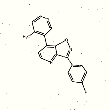 Cc1ccncc1-c1ccnc2c(-c3ccc(F)cc3)noc12